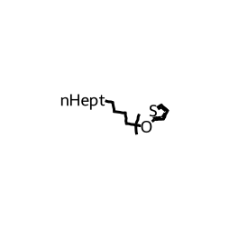 CCCCCCCCCCCC(C)(C)Oc1cccs1